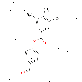 Cc1cc(C(=O)Oc2ccc(C=O)cc2)cc(C)c1C